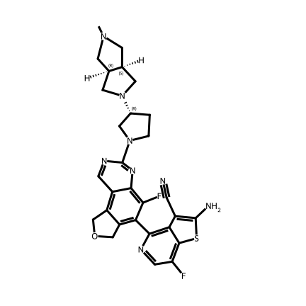 CN1C[C@@H]2CN([C@@H]3CCN(c4ncc5c6c(c(-c7ncc(F)c8sc(N)c(C#N)c78)c(F)c5n4)COC6)C3)C[C@@H]2C1